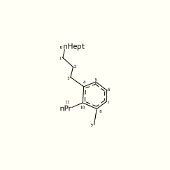 CCCCCCCCCCc1[c]ccc(C)c1CCC